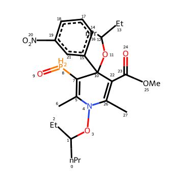 CCCC(CC)ON1C(C)=C([PH2]=O)C(OC(CC)CCC)(c2cccc([N+](=O)[O-])c2)C(C(=O)OC)=C1C